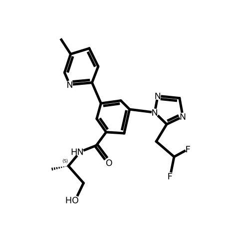 Cc1ccc(-c2cc(C(=O)N[C@@H](C)CO)cc(-n3ncnc3CC(F)F)c2)nc1